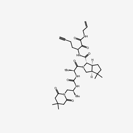 C#CCCC(NC(=O)[C@@H]1[C@H]2CCC(C)(C)[C@H]2CN1C(=O)[C@@H](NC(=O)N[C@H](CN1C(=O)CC(C)(C)CC1=O)C(C)(C)C)C(C)(C)C)C(=O)C(=O)NCC=C